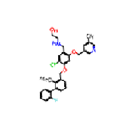 COc1c(COc2cc(OCc3cncc(C#N)c3)c(CNCCO)cc2Cl)cccc1-c1ccccc1F